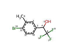 Cc1cc(C(O)C(F)(F)F)ccc1Br